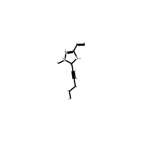 C=CC1=NN(C)C(C#CCCC)S1